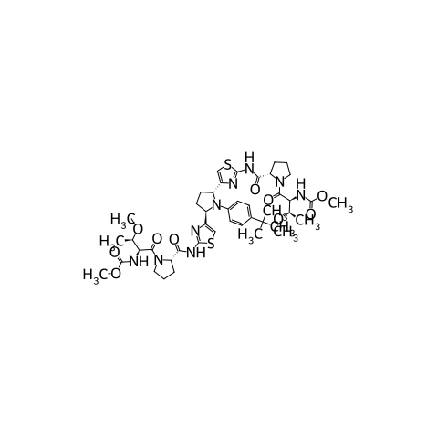 COC(=O)N[C@H](C(=O)N1CCC[C@H]1C(=O)Nc1nc([C@H]2CC[C@H](c3csc(NC(=O)[C@@H]4CCCN4C(=O)[C@@H](NC(=O)OC)[C@@H](C)OC)n3)N2c2ccc(C(C)(C)C)cc2)cs1)[C@@H](C)OC